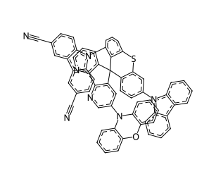 N#Cc1ccc2c(c1)c1cc(C#N)ccc1n2-c1cccc2c1C1(c3ccc(-n4c5ccccc5c5ccccc54)cc3S2)c2cccnc2-c2ncc(N3c4ccccc4Oc4ccccc43)cc21